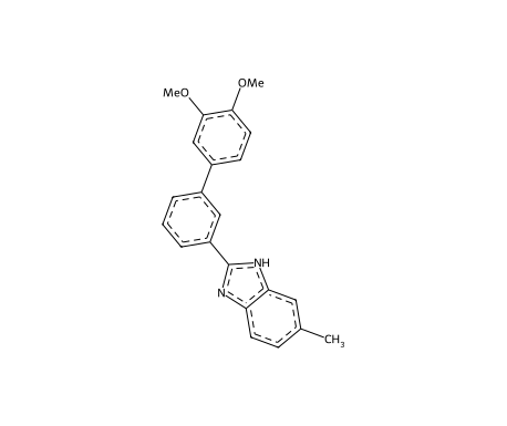 COc1ccc(-c2cccc(-c3nc4ccc(C)cc4[nH]3)c2)cc1OC